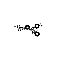 CN(C)c1ccc(CN(Cc2cccc(OCC(=O)O)c2)c2nc3ccccc3o2)cc1